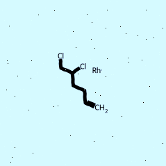 C=CCCC(Cl)CCl.[Rh]